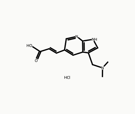 CN(C)Cc1c[nH]c2ncc(C=CC(=O)O)cc12.Cl